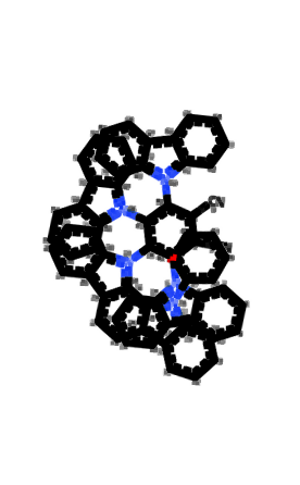 N#Cc1c(C#N)c(-n2c3ccccc3c3ccccc32)c(-n2c3ccccc3c3ccc4c5ccccc5n(-c5ccccc5)c4c32)c(-n2c3ccccc3c3ccccc32)c1-n1c2ccccc2c2ccccc21